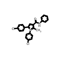 Cc1c(C(=O)Nc2ccccc2)cc(-c2ccc(Cl)cc2)n1-c1ccc(Cl)cc1